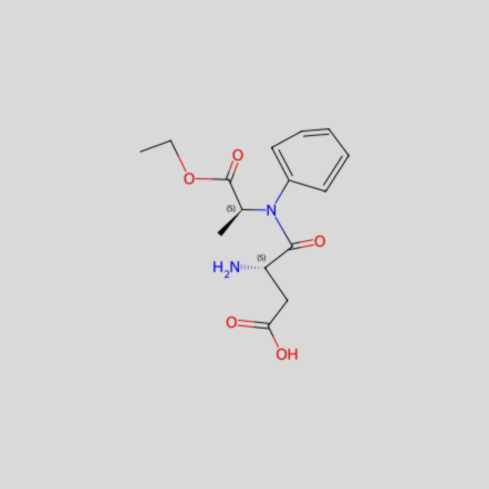 CCOC(=O)[C@H](C)N(C(=O)[C@@H](N)CC(=O)O)c1ccccc1